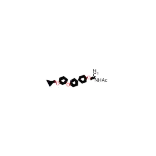 CC(=O)NC(C)CO[C@H]1CC[C@H](c2ccc(Oc3cccc(OCC4CC4)c3)cc2)CC1